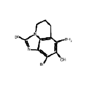 Bc1c(O)c(Br)c2nc(Br)n3c2c1CCC3